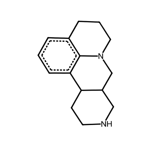 c1cc2c3c(c1)C1CCNCC1CN3CCC2